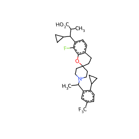 CC(C(=O)O)C(c1ccc2c(c1F)OC1(CC2)CCN(C(C)c2cc(C(F)(F)F)ccc2C2CC2)CC1)C1CC1